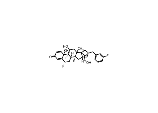 C[C@]12C=CC(=O)C=C1[C@@H](F)C[C@H]1[C@@H]3C[C@H]4CN(Cc5cccc(F)c5)C[C@@]4(C(=O)CO)[C@@]3(C)C[C@H](O)[C@@]12F